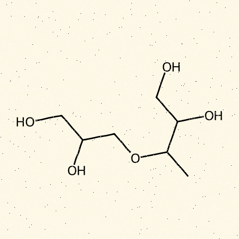 CC(OCC(O)CO)C(O)CO